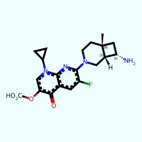 C[C@]12CCN(c3nc4c(cc3F)c(=O)c(OC(=O)O)cn4C3CC3)C[C@H]1[C@@H](N)C2